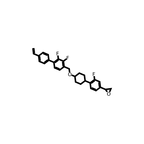 C=Cc1ccc(-c2ccc(COC3CCC(c4ccc(C5CO5)cc4F)CC3)c(F)c2F)cc1